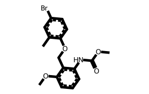 COC(=O)Nc1cccc(OC)c1COc1ccc(Br)cc1C